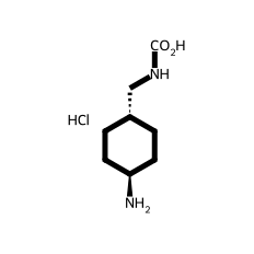 Cl.N[C@H]1CC[C@H](CNC(=O)O)CC1